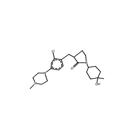 CN1CCN(c2ccc(CC3CCN(C4CCC(C)(O)CC4)C3=O)c(Cl)c2)CC1